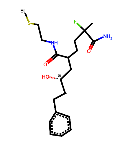 CCSCCNC(=O)C(CCC(C)(F)C(N)=O)C[C@@H](O)[CH]Cc1ccccc1